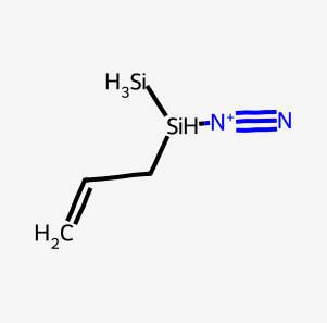 C=CC[SiH]([SiH3])[N+]#N